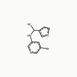 N#CC(Nc1cncc(Br)c1)c1ccsc1